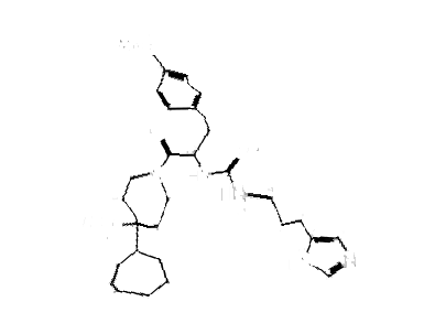 CCOC(=O)C1(C2CCCCC2)CCN(C(=O)C(Cc2ccc(OC)cc2)NC(=O)NCCCc2cnc[nH]2)CC1